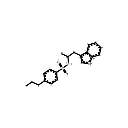 CCCc1ccc(S(=O)(=O)NC(C)Cc2c[nH]c3ccccc23)cc1